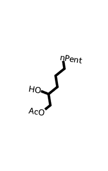 CCCCCCCCC(O)COC(C)=O